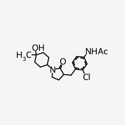 CC(=O)Nc1ccc(CC2CCN(C3CCC(C)(O)CC3)C2=O)c(Cl)c1